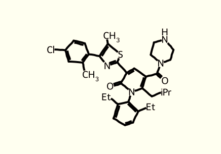 CCc1cccc(CC)c1-n1c(CC(C)C)c(C(=O)N2CCNCC2)cc(-c2nc(-c3ccc(Cl)cc3C)c(C)s2)c1=O